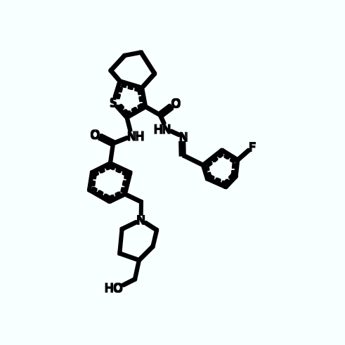 O=C(Nc1sc2c(c1C(=O)NN=Cc1cccc(F)c1)CCCC2)c1cccc(CN2CCC(CO)CC2)c1